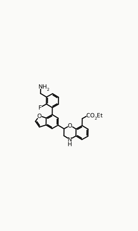 CCOC(=O)Cc1cccc2c1OC(c1cc(-c3cccc(CN)c3F)c3occc3c1)CN2